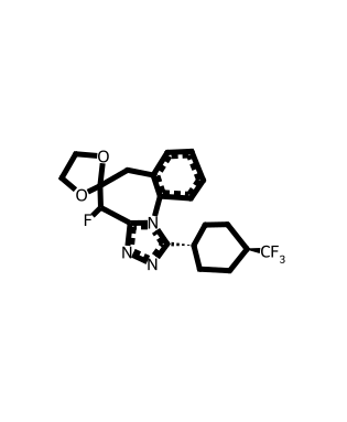 FC1c2nnc([C@H]3CC[C@H](C(F)(F)F)CC3)n2-c2ccccc2CC12OCCO2